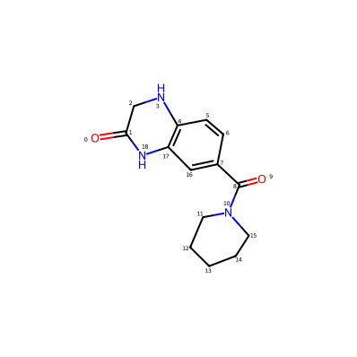 O=C1CNc2ccc(C(=O)N3CCCCC3)cc2N1